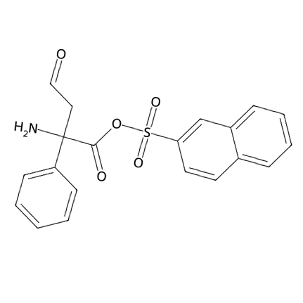 NC(CC=O)(C(=O)OS(=O)(=O)c1ccc2ccccc2c1)c1ccccc1